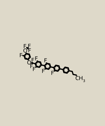 CCCCc1ccc(-c2ccc(-c3cc(F)c(-c4cc(F)c(C(F)(F)Oc5ccc(OC(F)(F)F)c(F)c5)c(F)c4)c(F)c3)c(F)c2)cc1